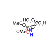 COC[C@H]1C(=O)N(CCN(C)C)c2ccc(C(F)(F)F)cc2C[C@H]1c1ccc(OC)cc1.O=C(O)/C=C/C(=O)O